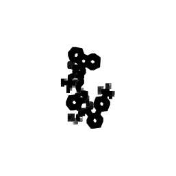 CN(C(=O)c1ccccc1-c1ccc(C(F)(F)F)cc1)c1cccc2c1ncn2CCCCC1(C(=O)NCC(F)(F)F)c2ccccc2-c2ccccc21